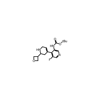 CC(C)(C)OC(=O)Nc1cncc(F)c1C1=CCNC(C2COC2)C1